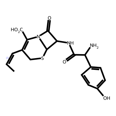 C/C=C\C1=C(C(=O)O)N2C(=O)C(NC(=O)C(N)c3ccc(O)cc3)C2SC1